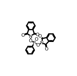 O=C1c2ccccc2C(=O)N1OP(=O)(ON1C(=O)c2ccccc2C1=O)c1ccccc1